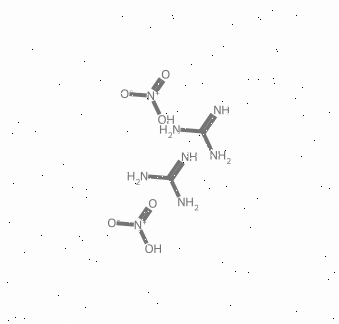 N=C(N)N.N=C(N)N.O=[N+]([O-])O.O=[N+]([O-])O